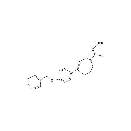 CC(C)(C)OC(=O)N1CC=C(c2ccc(OCc3ccccc3)cc2)CCC1